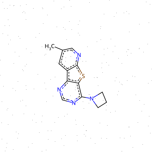 Cc1cnc2sc3c(N4CCC4)ncnc3c2c1